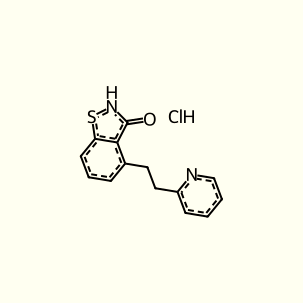 Cl.O=c1[nH]sc2cccc(CCc3ccccn3)c12